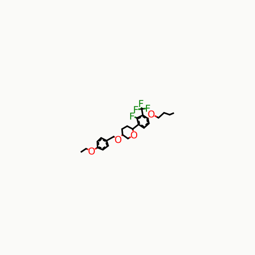 CCCCOc1ccc(C2CCC(OCc3ccc(OCC)cc3)CO2)c(F)c1C(F)(F)F